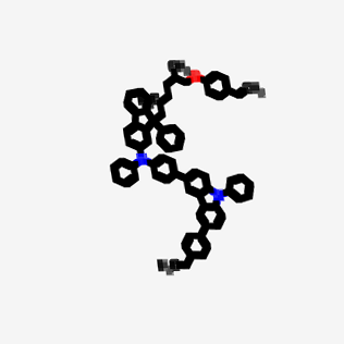 C=Cc1ccc(OCC(C)CCC(C)CC2(c3ccccc3)c3ccccc3-c3ccc(N(c4ccccc4)c4ccc(-c5ccc6c(c5)c5cc(-c7ccc(C=C)cc7)ccc5n6-c5ccccc5)cc4)cc32)cc1